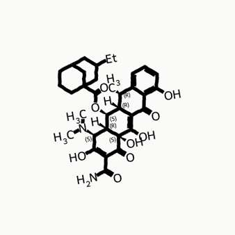 CCC1CC2CCCC(C(=O)O[C@H]3[C@H]4C(=C(O)[C@]5(O)C(=O)C(C(N)=O)=C(O)[C@@H](N(C)C)[C@H]35)C(=O)c3c(O)cccc3[C@@H]4C)(C1)C2